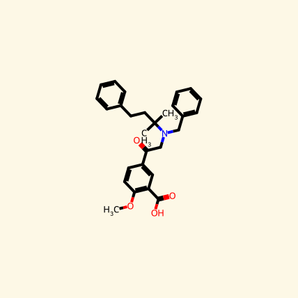 COc1ccc(C(=O)CN(Cc2ccccc2)C(C)(C)CCc2ccccc2)cc1C(=O)O